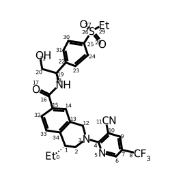 CC[C@H]1CN(c2ncc(C(F)(F)F)cc2C#N)Cc2cc(C(=O)NC(CO)c3ccc(S(=O)(=O)CC)cc3)ccc21